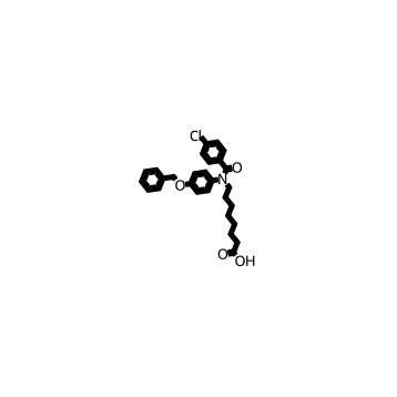 O=C(O)CCCCCCCN(C(=O)c1ccc(Cl)cc1)c1ccc(OCc2ccccc2)cc1